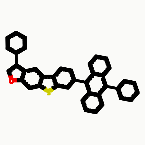 c1ccc(-c2coc3cc4sc5cc(-c6c7ccccc7c(-c7ccccc7)c7ccccc67)ccc5c4cc23)cc1